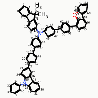 CC1(C)c2ccccc2-c2ccc(N(c3ccc(-c4ccc(-c5ccc6c(c5)c5ccccc5n6-c5ccccc5)cc4)cc3)c3ccc(-c4ccc(-c5cccc6c5oc5ccccc56)cc4)cc3)cc21